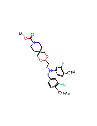 COc1ccc(CN(CCC2OCC3(CCN(C(=O)OC(C)(C)C)CC3)CO2)c2ccc(C#N)c(F)c2)cc1F